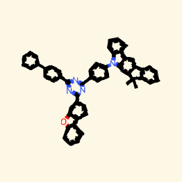 CC1(C)c2ccccc2-c2cc3c4ccccc4n(-c4ccc(-c5nc(-c6ccc(-c7ccccc7)cc6)nc(-c6ccc7c(c6)oc6ccccc67)n5)cc4)c3cc21